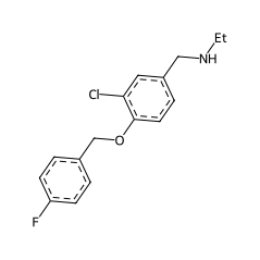 CCNCc1ccc(OCc2ccc(F)cc2)c(Cl)c1